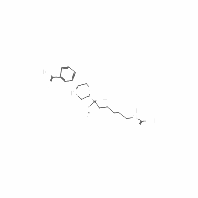 CC(=O)NCCCCCC(O)([PH2]=O)[C@H]1CN[C@H](c2cccc(C(=O)O)c2)CO1